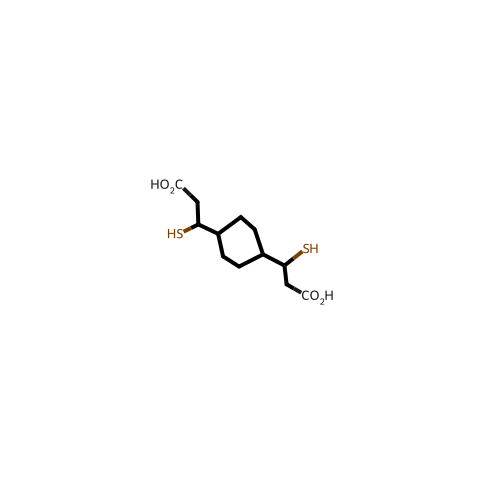 O=C(O)CC(S)C1CCC(C(S)CC(=O)O)CC1